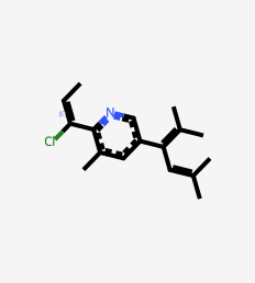 C/C=C(/Cl)c1ncc(C(C=C(C)C)=C(C)C)cc1C